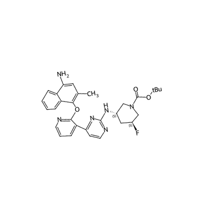 Cc1cc(N)c2ccccc2c1Oc1ncccc1-c1ccnc(N[C@H]2C[C@H](F)CN(C(=O)OC(C)(C)C)C2)n1